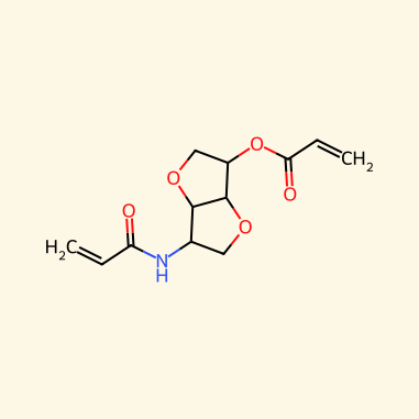 C=CC(=O)NC1COC2C(OC(=O)C=C)COC12